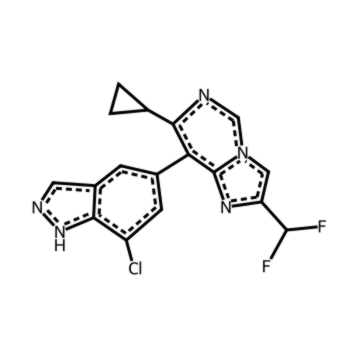 FC(F)c1cn2cnc(C3CC3)c(-c3cc(Cl)c4[nH]ncc4c3)c2n1